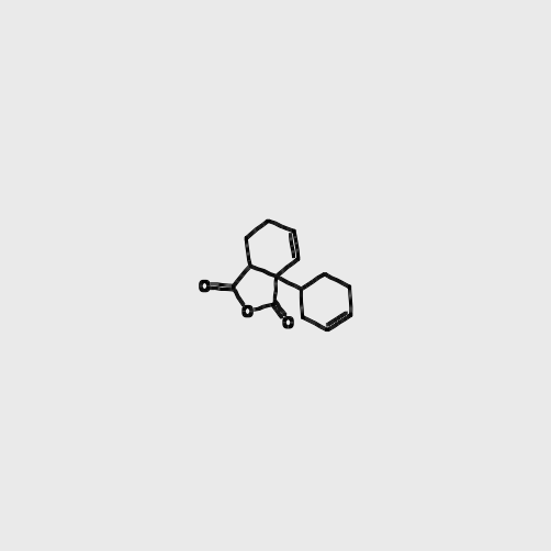 O=C1OC(=O)C2(C3CC=CCC3)C=CCCC12